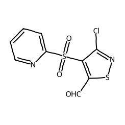 O=Cc1snc(Cl)c1S(=O)(=O)c1ccccn1